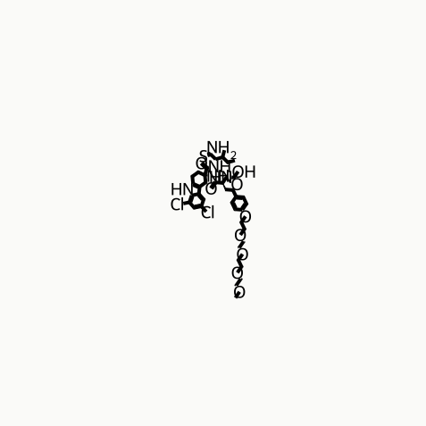 CCC(C)C(NC(=O)[C@@]1(NC(=O)[C@H](CCc2ccc(OCCOCCOCCOCCOC)cc2)NC(=O)O)CCc2[nH]c3c(Cl)cc(Cl)cc3c2C1)C(N)=S